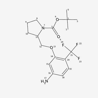 CC(C)(C)OC(=O)N1CCCC1COc1cc(N)ccc1C(F)(F)F